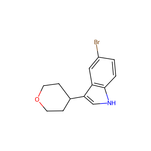 Brc1ccc2[nH]cc(C3CCOCC3)c2c1